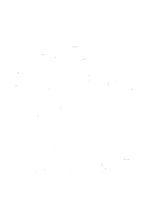 OC[C@H]1O[C@@H](OC[C@H]2O[C@@H](OC[C@H]3O[C@@H](OC[C@H]4O[C@@H](OC[C@H]5OC(O)[C@H](O)[C@@H](O)[C@@H]5O)[C@H](O)[C@@H](O)[C@@H]4O)[C@H](O)[C@@H](O)[C@@H]3O)[C@H](O)[C@@H](O)[C@@H]2O)[C@H](O)[C@@H](O)[C@@H]1O